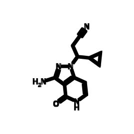 N#CCC(C1CC1)n1nc(N)c2c(=O)[nH]ccc21